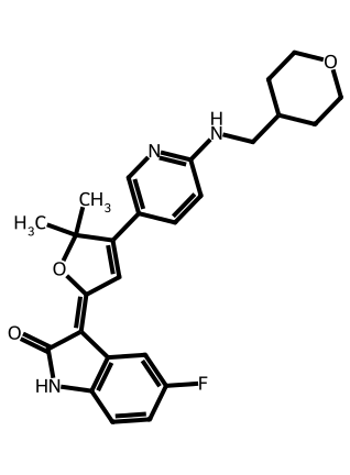 CC1(C)OC(=C2C(=O)Nc3ccc(F)cc32)C=C1c1ccc(NCC2CCOCC2)nc1